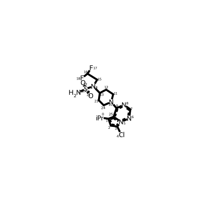 CC(C)c1cc(Cl)n2ncnc(N3CCC(N(CC(F)F)S(N)(=O)=O)CC3)c12